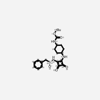 CC(C)(C)OC(=O)NC1CCC(Nc2c(N[S@+]([O-])Cc3ccccc3)c(=O)c2=O)CC1